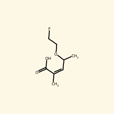 CC(=CC(C)OCCF)C(=O)O